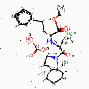 CCOC(=O)[C@H](CCc1ccccc1)N[C@@H](C)C(=O)N1[C@@H](OC(=O)O)C[C@@H]2CCCC[C@@H]21.Cl